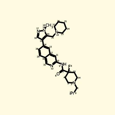 CC(C)CN1CCC(F)(C(=O)Nc2cc3cc(-c4cnn(C)c4CN4CCCCC4)ccc3cn2)CC1